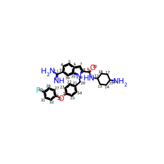 N=C(N)c1ccc2cc(C(=O)NC3CCC(N)CC3)n(Cc3ccc(Oc4ccc(F)cc4)cc3)c2c1